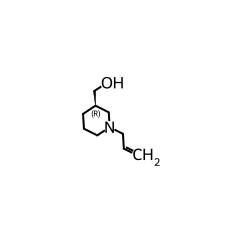 C=CCN1CCC[C@@H](CO)C1